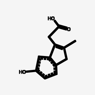 CC1=C(CC(=O)O)c2cc(O)ccc2C1